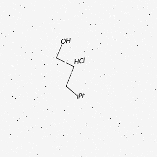 CC(C)CCCO.Cl